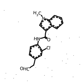 Cn1cc(C(=O)Nc2ccc(CC=O)cc2Cl)c2ccccc21